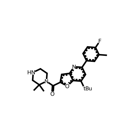 Cc1cc(-c2cc(C(C)(C)C)c3oc(C(=O)N4CCNCC4(C)C)cc3n2)ccc1F